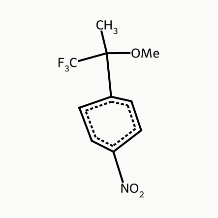 COC(C)(c1ccc([N+](=O)[O-])cc1)C(F)(F)F